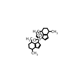 C[CH]=[Zr]([Cl])([Cl])([CH]1C=CC2=C1C(C)CCC2C)[CH]1C=CC2=C1C(C)CCC2C